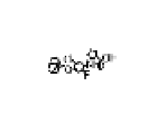 O=C(O)C1CCCC1Nc1cc(Cl)c(OCC23CC4CC(CC(C4)C2)C3)cc1F